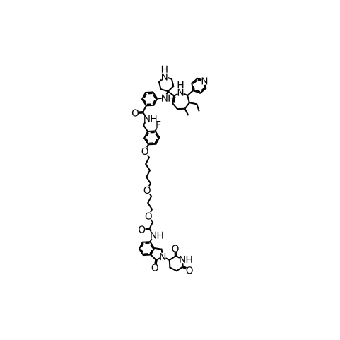 CCC1C(C)CC=C(C2(Nc3cccc(C(=O)NCc4cc(OCCCCCOCCCOCC(=O)Nc5cccc6c5CN(C5CCC(=O)NC5=O)C6=O)ccc4F)c3)CCNCC2)NC1c1ccncc1